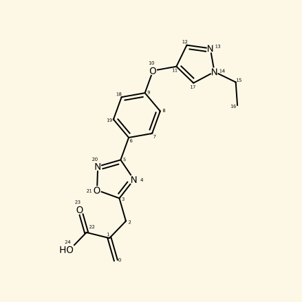 C=C(Cc1nc(-c2ccc(Oc3cnn(CC)c3)cc2)no1)C(=O)O